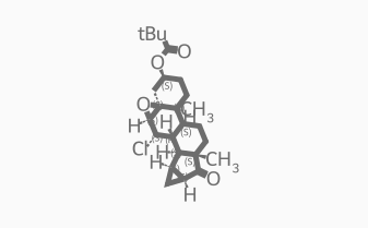 CC(C)(C)C(=O)O[C@H]1CC[C@]2(C)[C@H]3CC[C@]4(C)C(=O)[C@H]5C[C@H]5[C@H]4[C@@H]3[C@H](Cl)[C@H]3O[C@]32C1